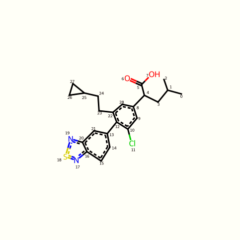 CC(C)CC(C(=O)O)c1cc(Cl)c(-c2ccc3nsnc3c2)c(CCC2CC2)c1